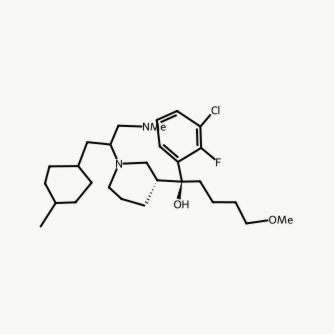 CNCC(CC1CCC(C)CC1)N1CCC[C@@H]([C@@](O)(CCCCOC)c2cccc(Cl)c2F)C1